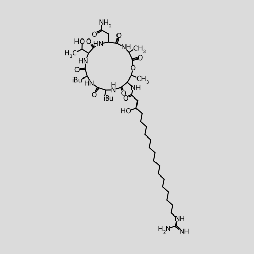 CCC(C)C1NC(=O)C(C(C)CC)NC(=O)C(NC(=O)CC(O)CCCCCCCCCCCCCCCCNC(=N)N)C(C)OC(=O)C(C)NC(=O)C(CC(N)=O)NC(=O)C(C(C)O)NC1=O